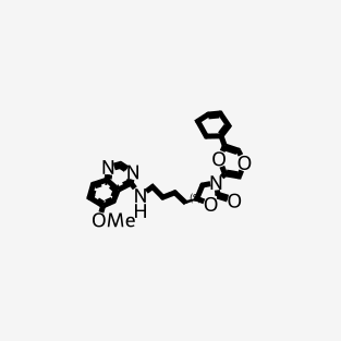 COc1ccc2ncnc(NCCCC[C@H]3CN(C4=COC=C(C5=CC=CCC5)O4)C(=O)O3)c2c1